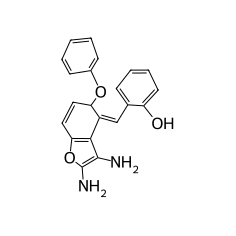 Nc1oc2c(c1N)C(=Cc1ccccc1O)C(Oc1ccccc1)C=C2